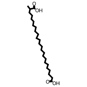 CC(CCCCCCCCCCCCCCCCCCCCCCC(=O)O)C(=O)O